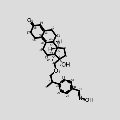 CC(COC[C@]1(O)CC[C@H]2[C@@H]3CCC4=CC(=O)CCC4=C3CC[C@@]21C)c1ccc(C=NO)cc1